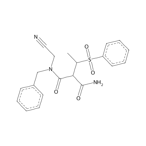 CC(C(C(N)=O)C(=O)N(CC#N)Cc1ccccc1)S(=O)(=O)c1ccccc1